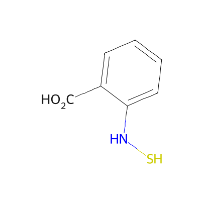 O=C(O)c1ccccc1NS